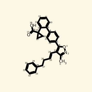 Cc1noc(-c2ccc(-c3ccccc3C3(C(=O)O)CC3)cc2)c1C=CCCc1ccccc1